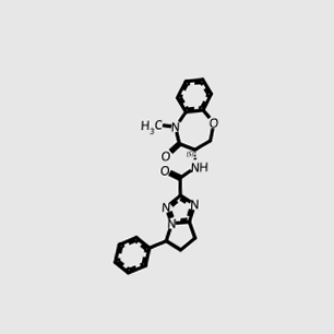 CN1C(=O)[C@@H](NC(=O)c2nc3n(n2)C(c2ccccc2)CC3)COc2ccccc21